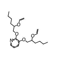 C=COC(CCCC)COc1cccnc1OCC(CCCC)OC=C